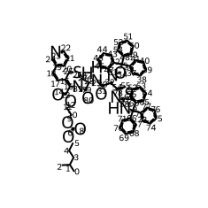 CC(C)CCCOC(=O)OCCOC(=O)C1=C(/C=C\c2cccnc2)CS[C@H]2[C@H](NC(=O)C(=NOC(c3ccccc3)(c3ccccc3)c3ccccc3)c3csc(NC(c4ccccc4)(c4ccccc4)c4ccccc4)n3)C(=O)N12